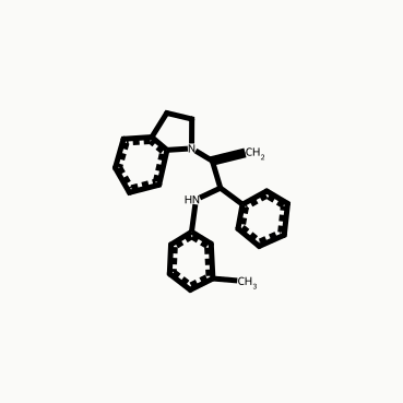 C=C(C(Nc1cccc(C)c1)c1ccccc1)N1CCc2ccccc21